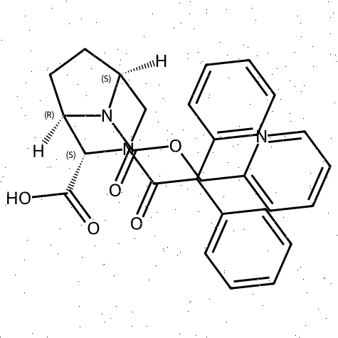 O=C(O)[C@@H]1[C@H]2CC[C@@H](CN1C(=O)C(c1ccccc1)c1ccccc1)N2C(=O)OCc1ccccn1